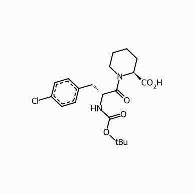 CC(C)(C)OC(=O)N[C@H](Cc1ccc(Cl)cc1)C(=O)N1CCCC[C@H]1C(=O)O